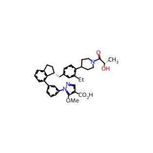 CCc1cc(C[C@H]2CCc3cccc(-c4cccc(-n5ncc(C(=O)O)c5OC)c4)c32)ccc1C1CCN(C(=O)[C@H](C)O)CC1